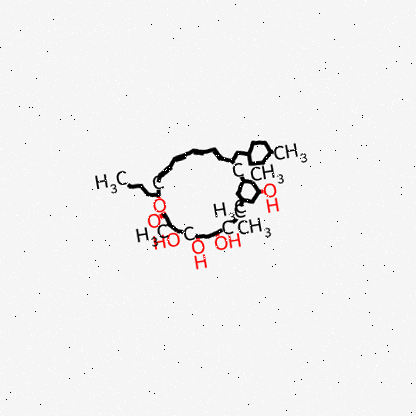 CCCCC1C/C=C/C=C/C=C/C=C/C(CC2CCC(C)CC2)CC2CC(C)(CC(C)CC(O)CC(O)CC(O)C(C)C(=O)O1)CC(O)C2C